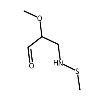 COC(C=O)CNSC